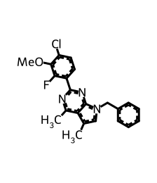 COc1c(Cl)ccc(-c2nc(C)c3c(C)cn(Cc4ccccc4)c3n2)c1F